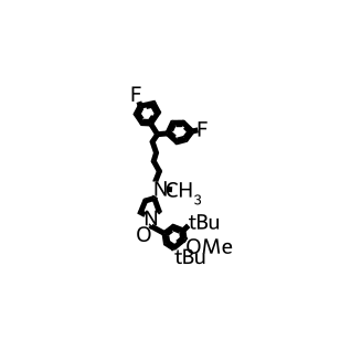 COc1c(C(C)(C)C)cc(C(=O)N2CCC(N(C)CCCCCC(c3ccc(F)cc3)c3ccc(F)cc3)C2)cc1C(C)(C)C